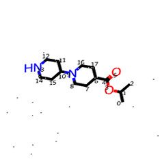 CC(C)OC(=O)C1CCN(C2CCNCC2)CC1